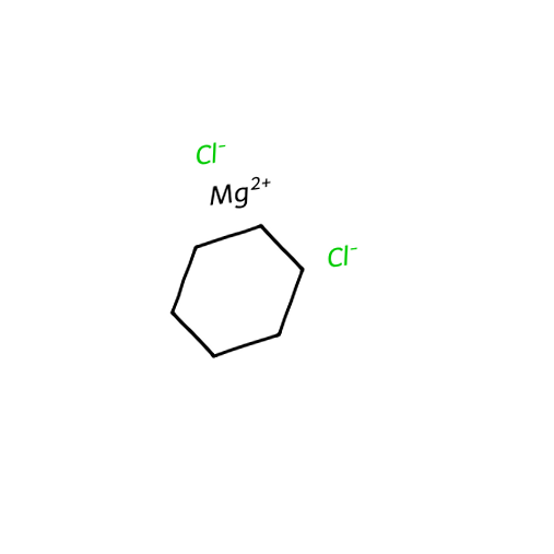 C1CCCCC1.[Cl-].[Cl-].[Mg+2]